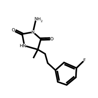 CC1(CCc2cccc(F)c2)NC(=O)N(N)C1=O